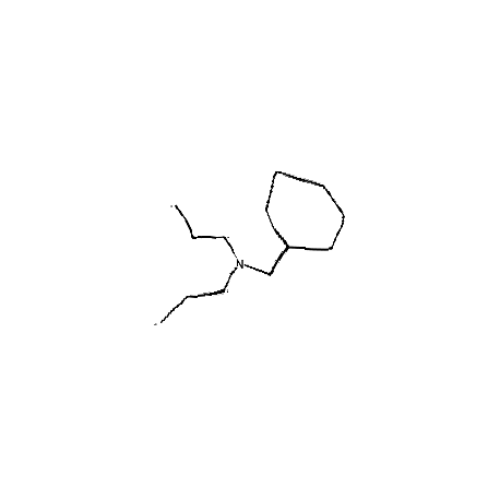 [CH2]C[CH]N([CH]C[CH2])CC1CCCCC1